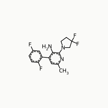 Cc1cc(-c2cc(F)ccc2F)c(N)c(N2CCC(F)(F)C2)n1